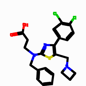 O=C(O)CCN(Cc1ccccc1)c1nc(-c2ccc(Cl)c(Cl)c2)c(CN2CCC2)s1